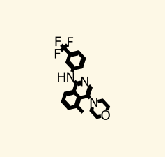 Cc1cccc2c(Nc3cccc(C(F)(F)F)c3)ncc(N3CCOCC3)c12